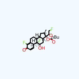 CCCCC(=O)O[C@@]1(C(=O)CF)[C@H](C)C[C@H]2[C@@H]3CCC4=C(F)C(=O)C=C[C@]4(C)[C@@]3(F)[C@@H](O)C[C@@]21C